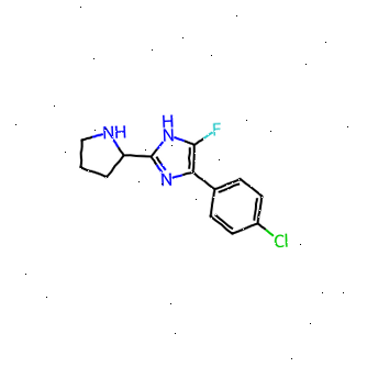 Fc1[nH]c(C2CCCN2)nc1-c1ccc(Cl)cc1